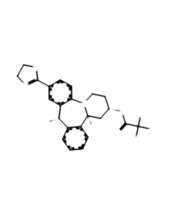 C[C@@H]1c2ccccc2[C@H]2C[C@H](NC(=O)C(F)(F)F)CCN2c2ccc(C3=NCCO3)cc21